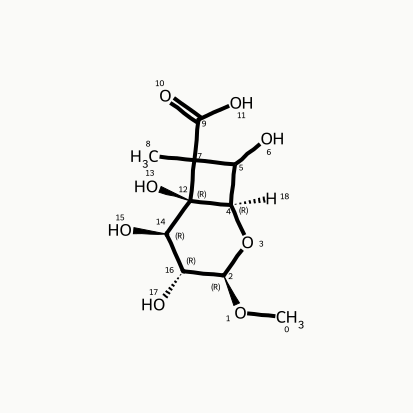 CO[C@@H]1O[C@@H]2C(O)C(C)(C(=O)O)[C@@]2(O)[C@H](O)[C@H]1O